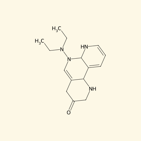 CCN(CC)N1C=C2CC(=O)CNC2C2=CC=CNC21